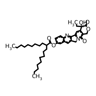 CCCCCCCCCC(CCCCCCCCC)C(=O)Oc1ccc2nc3c(cc2c1)Cn1c-3cc2c(c1=O)COC(=O)[C@]2(O)CC